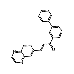 O=C(/C=C/c1ccc2nccnc2c1)c1cccc(-c2ccccc2)c1